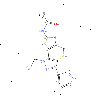 CCn1nc(-c2cccnc2)c2c1-c1sc(NC(C)=O)nc1CS2